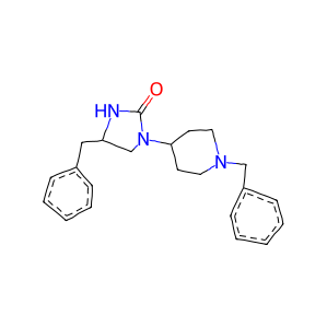 O=C1NC(Cc2ccccc2)CN1C1CCN(Cc2ccccc2)CC1